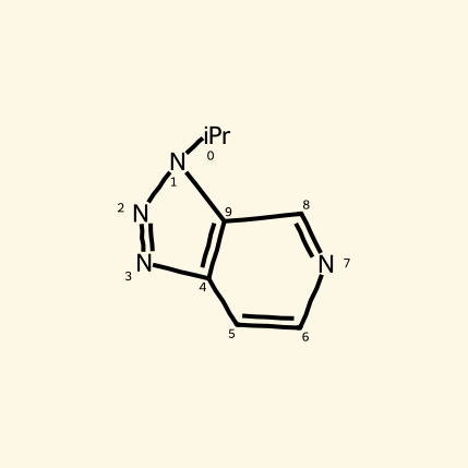 CC(C)n1nnc2ccncc21